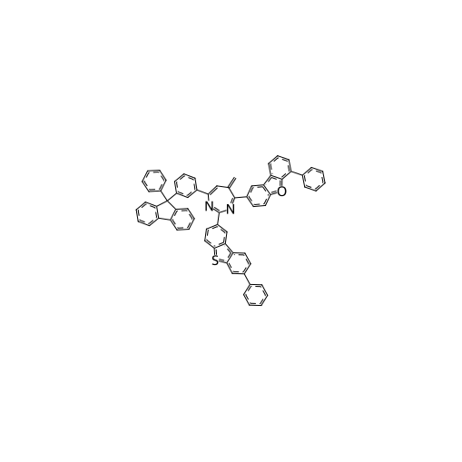 C=C1C=C(c2cccc(C3(c4ccccc4)c4ccccc4-c4ccccc43)c2)N=C(c2ccc3sc4cc(-c5ccccc5)ccc4c3c2)N=C1c1ccc2oc3c(-c4ccccc4)cccc3c2c1